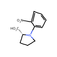 O=C(O)[C@H]1CCCN1c1ccccc1[N+](=O)[O-]